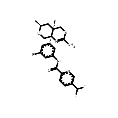 C[C@H]1C[C@@]2(F)CSC(N)=N[C@@]2(c2cc(F)cc(NC(=O)c3ccc(C(F)F)cn3)c2)CO1